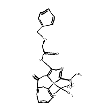 CN(C)C1=NC(NC(=O)COCc2ccccc2)=C(C(=O)[O-])[N+]1(c1ccccc1)C(C)(C)C